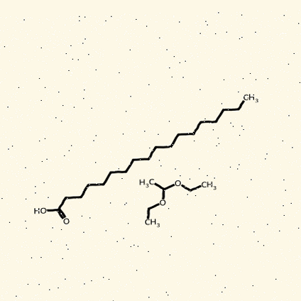 CCCCCCCCCCCCCCCCCC(=O)O.CCOC(C)OCC